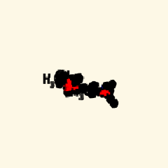 CC1(C)c2ccccc2-c2c(-c3ccc(N(c4ccccc4-c4ccc(-c5ccc(CC6(C)c7ccccc7-c7c(-c8ccc(N(c9ccc(-c%10ccc(-c%11ccccc%11)cc%10)cc9)c9cccc(-c%10ccccc%10)c9-c9ccccc9-c9ccccc9)cc8)cccc76)cc5)cc4)c4cccc(-c5ccccc5)c4-c4ccccc4-c4ccccc4)cc3)cccc21